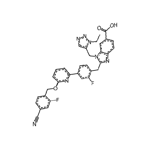 CCn1nncc1Cn1c(Cc2ccc(-c3cccc(OCc4ccc(C#N)cc4F)n3)cc2F)nc2ccc(C(=O)O)cc21